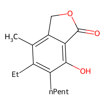 CCCCCc1c(O)c2c(c(C)c1CC)COC2=O